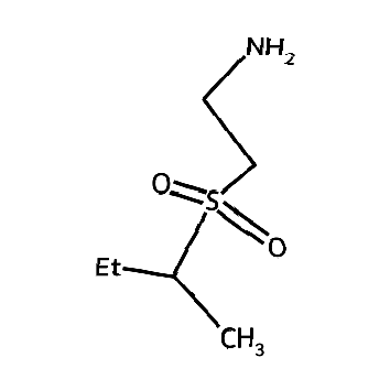 CCC(C)S(=O)(=O)CCN